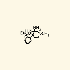 CCC(=O)OC1(c2ccccc2)CCN(C)CC1(N)N